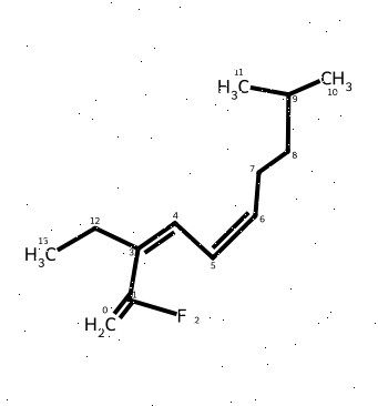 C=C(F)/C(=C\C=C/CCC(C)C)CC